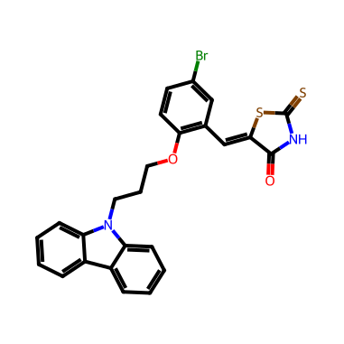 O=C1NC(=S)SC1=Cc1cc(Br)ccc1OCCCn1c2ccccc2c2ccccc21